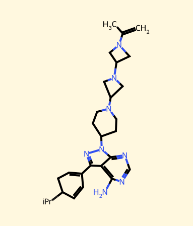 C=C(C)N1CC(N2CC(N3CCC(n4nc(C5=CCC(C(C)C)C=C5)c5c(N)ncnc54)CC3)C2)C1